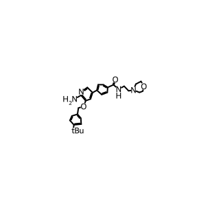 CC(C)(C)c1ccc(COc2cc(-c3ccc(C(=O)NCCN4CCOCC4)cc3)cnc2N)cc1